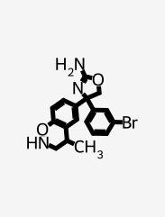 CC1CNOc2ccc(C3(c4cccc(Br)c4)COC(N)=N3)cc21